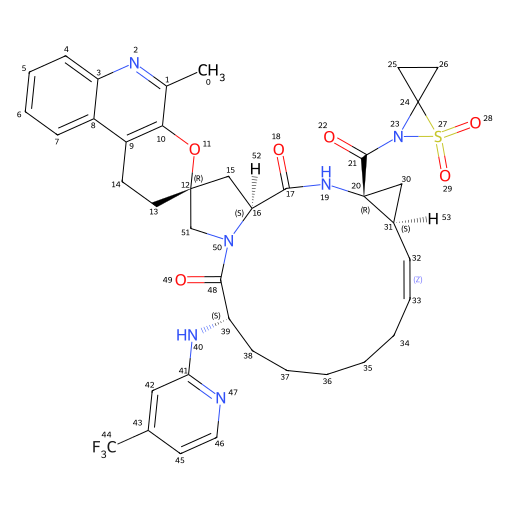 Cc1nc2ccccc2c2c1O[C@]1(CC2)C[C@H]2C(=O)N[C@]3(C(=O)N4C5(CC5)S4(=O)=O)C[C@H]3/C=C\CCCCC[C@H](Nc3cc(C(F)(F)F)ccn3)C(=O)N2C1